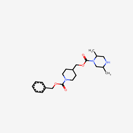 CC1CN(C(=O)OCC2CCN(C(=O)OCc3ccccc3)CC2)C(C)CN1